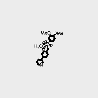 COc1ccc(S(=O)(=O)N(Cc2ccc(-c3cccnc3)cc2)S(C)(=O)=O)cc1OC